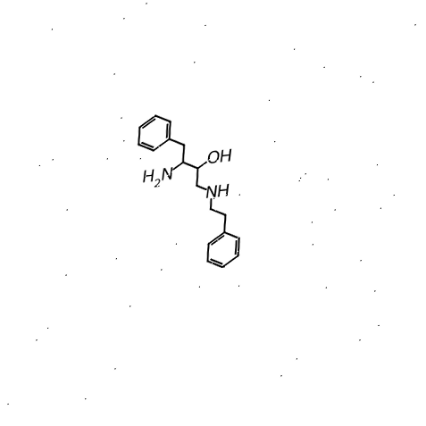 NC(Cc1ccccc1)C(O)CNCCc1ccccc1